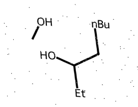 CCCCCC(O)CC.CO